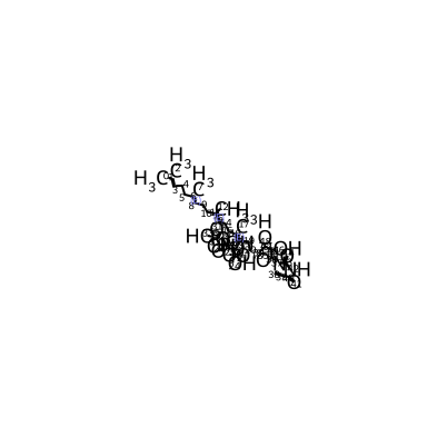 CC(C)=CCC/C(C)=C/CC/C(C)=C/CC/C(C)=C/CC(OP(=O)(O)OP(=O)(O)OP(=O)(O)O)[C@H]1O[C@@H](n2ccc(=O)[nH]c2=O)[C@H](O)[C@@H]1O